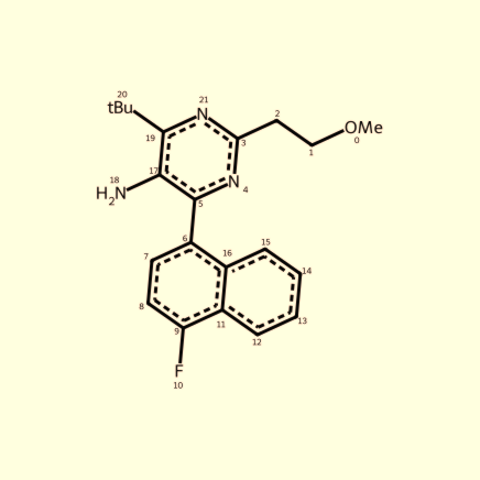 COCCc1nc(-c2ccc(F)c3ccccc23)c(N)c(C(C)(C)C)n1